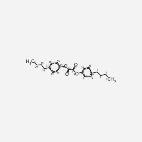 CCCCc1ccc(OC(=O)C(=O)Oc2ccc(CCCC)cc2)cc1